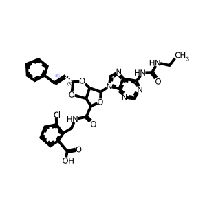 CCNC(=O)Nc1ncnc2c1ncn2C1OC(C(=O)NCc2c(Cl)cccc2C(=O)O)C2O[C@H](/C=C/c3ccccc3)OC21